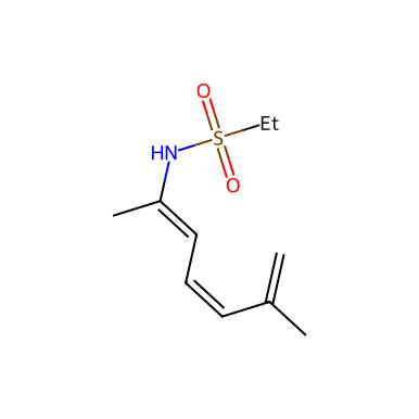 C=C(C)/C=C\C=C(/C)NS(=O)(=O)CC